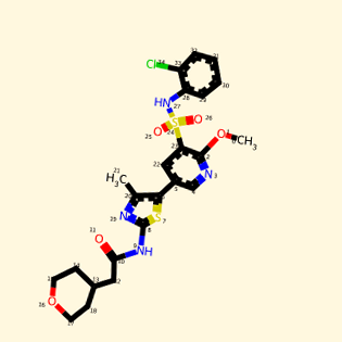 COc1ncc(-c2sc(NC(=O)CC3CCOCC3)nc2C)cc1S(=O)(=O)Nc1ccccc1Cl